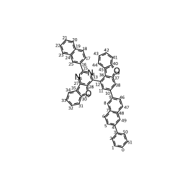 c1ccc(-c2ccc3cc(-c4cc(-c5nc(-c6ccc7ccccc7c6)nc6c5oc5ccccc56)c5c(c4)oc4ccccc45)ccc3c2)cc1